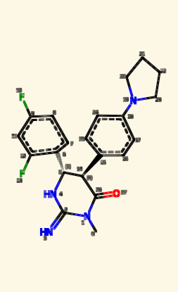 CN1C(=N)N[C@H](c2ccc(F)cc2F)[C@@H](c2ccc(N3CCCC3)cc2)C1=O